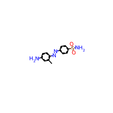 Cc1cc(N)ccc1N=Nc1ccc(S(N)(=O)=O)cc1